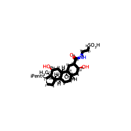 CCC[C@@H](C)[C@H]1CC[C@H]2[C@@H]3CC[C@@H]4C[C@H](O)C(C(=O)NCCS(=O)(=O)O)C[C@]4(C)[C@H]3C[C@H](O)[C@]12C